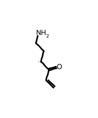 C=CC(=O)[CH]CCN